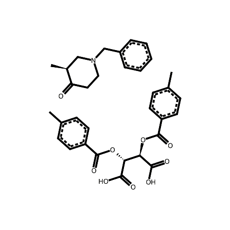 C[C@H]1CN(Cc2ccccc2)CCC1=O.Cc1ccc(C(=O)O[C@@H](C(=O)O)[C@@H](OC(=O)c2ccc(C)cc2)C(=O)O)cc1